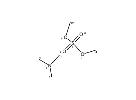 CN(C)C.COS(=O)(=O)OC